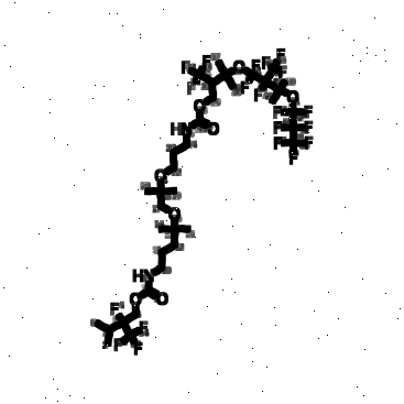 CC(C)C(F)(COC(=O)NCCCC(C)(C)OCC(C)(C)OCCCNC(=O)OCC(C(F)(F)F)C(C)(C)OC(F)(F)C(F)(C(F)(F)F)C(C)(C)OC(F)(F)C(F)(F)C(F)(F)F)C(F)(F)F